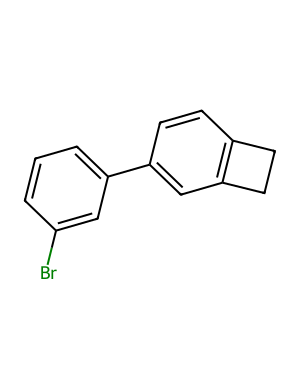 Brc1cccc(-c2ccc3c(c2)CC3)c1